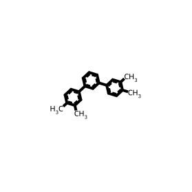 Cc1ccc(-c2cccc(-c3ccc(C)c(C)c3)c2)cc1C